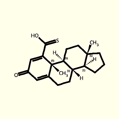 C[C@@]12CCC[C@H]1[C@@H]1CCC3=CC(=O)C=C(C(O)=S)[C@]3(C)[C@H]1CC2